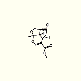 COC(=O)C1=CO[C@]2(C)OC[C@]3(O)[C@H](Cl)C[C@H]1[C@H]23